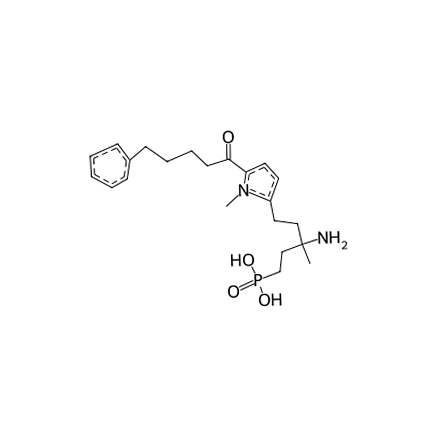 Cn1c(CCC(C)(N)CCP(=O)(O)O)ccc1C(=O)CCCCc1ccccc1